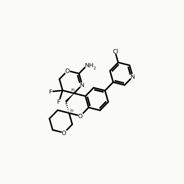 NC1=N[C@@]2(C[C@]3(CCCOC3)Oc3ccc(-c4cncc(Cl)c4)cc32)C(F)(F)CO1